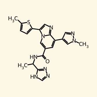 Cc1ccc(-c2cnc3c(-c4cnn(C)c4)cc(C(=O)NC(C)c4nnc[nH]4)cn23)s1